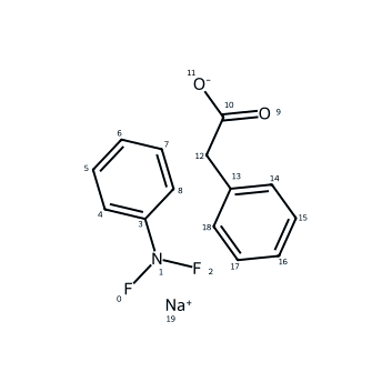 FN(F)c1ccccc1.O=C([O-])Cc1ccccc1.[Na+]